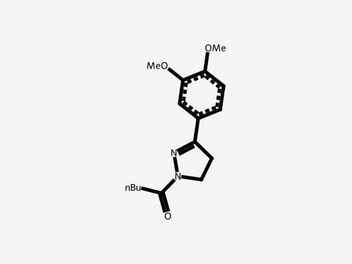 CCCCC(=O)N1CCC(c2ccc(OC)c(OC)c2)=N1